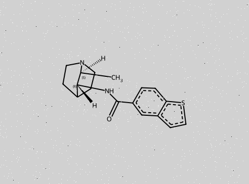 C[C@H]1[C@H](NC(=O)c2ccc3sccc3c2)C2CCN1CC2